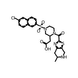 CC1Cc2nc(C(=O)N3CCN(S(=O)(=O)c4ccc5cc(Cl)ccc5c4)CC3CC(=O)O)sc2CN1